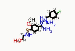 COc1cc(C(N)NN(N)Cc2ccc(F)cc2)ccc1SNCCO